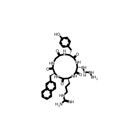 BBNB[C@H]1NC(=O)[C@@H](Cc2ccc(O)cc2)NC(=O)CNC(=O)[C@H](Cc2ccc3ccccc3c2)NC(=O)[C@H](CCCNC(=N)N)NC1=O